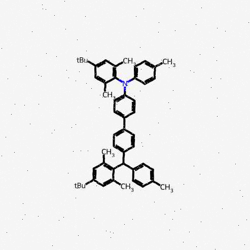 Cc1ccc(C(c2ccc(-c3ccc(N(c4ccc(C)cc4)c4c(C)cc(C(C)(C)C)cc4C)cc3)cc2)c2c(C)cc(C(C)(C)C)cc2C)cc1